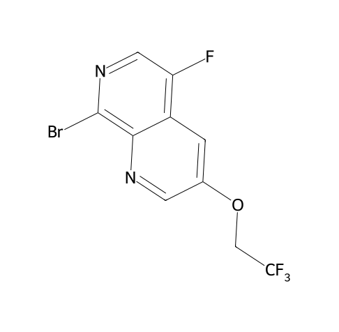 Fc1cnc(Br)c2ncc(OCC(F)(F)F)cc12